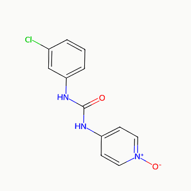 O=C(Nc1cc[n+]([O-])cc1)Nc1cccc(Cl)c1